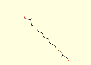 OCC(O)CSCCCCCCSCC(O)CO